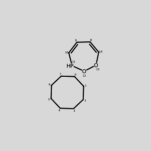 C1CCCCCCC1.c1cc[pH]ooc1